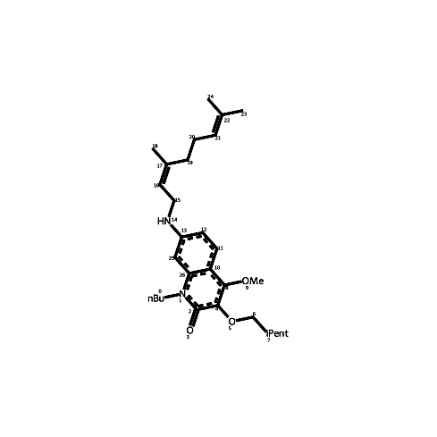 CCCCn1c(=O)c(OCC(C)CCC)c(OC)c2ccc(NCC=C(C)CCC=C(C)C)cc21